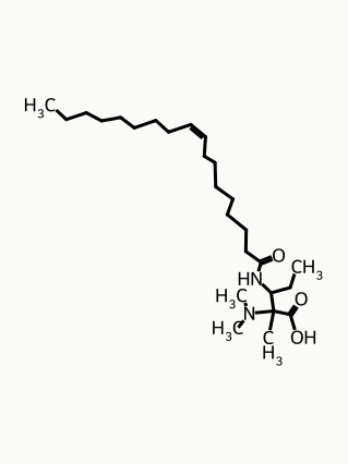 CCCCCCCC/C=C\CCCCCCCC(=O)NC(CC)C(C)(C(=O)O)N(C)C